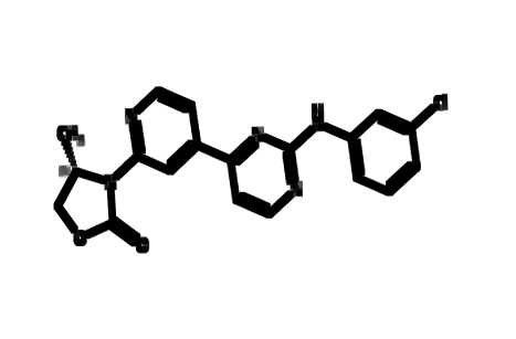 C[C@H]1COC(=O)N1c1cc(-c2ccnc(Nc3cccc(Cl)c3)n2)ccn1